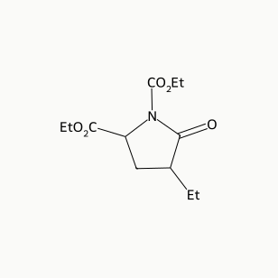 CCOC(=O)C1CC(CC)C(=O)N1C(=O)OCC